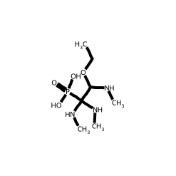 CCO[C](NC)C(NC)(NC)P(=O)(O)O